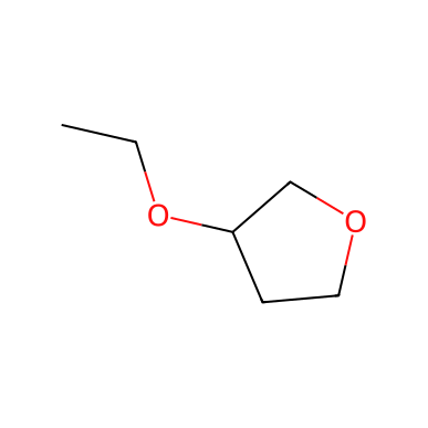 CCOC1CCOC1